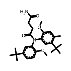 COc1ccc(C(C)(C)C)cc1N(C(=O)CCC(N)=O)c1cc(C(C)(C)C)c(I)cc1OC